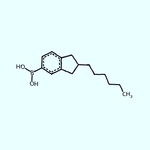 CCCCCCC1Cc2ccc(B(O)O)cc2C1